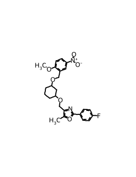 COc1ccc([N+](=O)[O-])cc1COC1CCCC(OCc2nc(-c3ccc(F)cc3)oc2C)C1